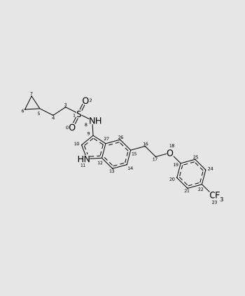 O=S(=O)(CCC1CC1)Nc1c[nH]c2ccc(CCOc3ccc(C(F)(F)F)cc3)cc12